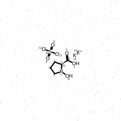 O=C(O)[C@@H]1CCCN1O.O=S(=O)([O-])[O-].[K+].[K+]